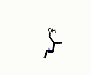 [CH2]/C=C/C(C)CO